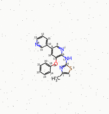 Cc1csc(Nc2ncc(-c3cccnc3)cc2Oc2ccccc2)n1